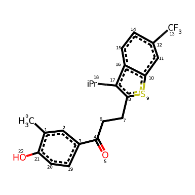 Cc1cc(C(=O)CCc2sc3cc(C(F)(F)F)ccc3c2C(C)C)ccc1O